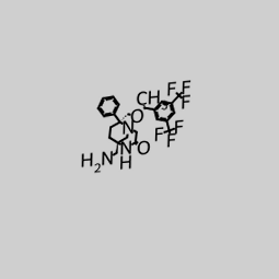 C[C@@H](OC[C@@]1(c2ccccc2)CC[C@]2(CN)CN1CC(=O)N2)c1cc(C(F)(F)F)cc(C(F)(F)F)c1